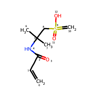 C=CC(=O)NC(C)(C)CS(=C)(=O)O